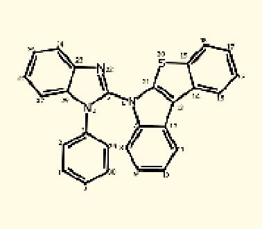 c1ccc(-n2c(-n3c4ccccc4c4c5ccccc5sc43)nc3ccccc32)cc1